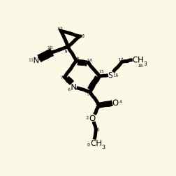 CCOC(=O)c1ncc(C2(C#N)CC2)cc1SCC